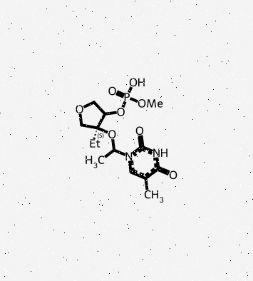 CC[C@]1(OC(C)n2cc(C)c(=O)[nH]c2=O)COCC1OP(=O)(O)OC